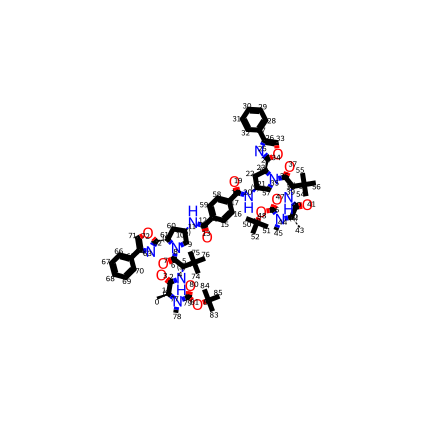 C[C@@H](C(=O)N[C@H](C(=O)N1C[C@@H](NC(=O)c2ccc(C(=O)N[C@H]3C[C@@H](c4nc(-c5ccccc5)co4)N(C(=O)[C@@H](NC(=O)[C@H](C)N(C)C(=O)OC(C)(C)C)C(C)(C)C)C3)cc2)C[C@H]1c1nc(-c2ccccc2)co1)C(C)(C)C)N(C)C(=O)OC(C)(C)C